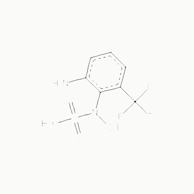 CN(c1c(N)cccc1C(F)(F)F)S(C)(=O)=O